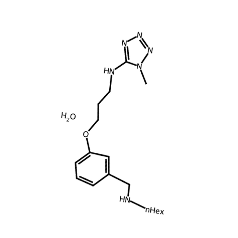 CCCCCCNCc1cccc(OCCCNc2nnnn2C)c1.O